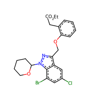 CCOC(=O)Cc1ccccc1OCc1nn(C2CCCCO2)c2c(Br)cc(Cl)cc12